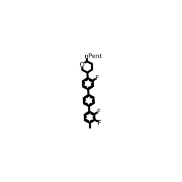 CCCCCC1CCC(c2ccc(-c3ccc(-c4ccc(C)c(F)c4F)cc3)cc2F)CO1